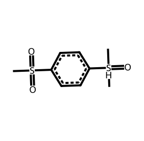 CS(=O)(=O)c1ccc([SH](C)(C)=O)cc1